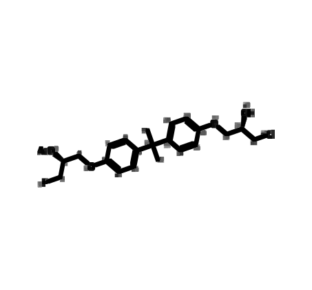 CC(=O)O[C@H](CF)COc1ccc(C(C)(C)c2ccc(OC[C@@H](O)CCl)cc2)cc1